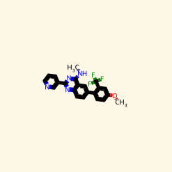 CNc1nc(-c2cccnc2)nc2ccc(-c3ccc(OC)cc3C(F)(F)F)cc12